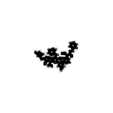 Cc1nc(CN2CCN([C@H](C(=O)N[C@@H](Cc3ccccc3)[C@H](O)CN(CC(C)C)S(=O)(=O)c3cccc(N(O)C(=O)OCc4ccccc4)c3)C(C)C)C2=O)cs1